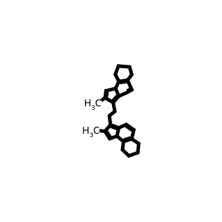 CC1=CC2C(=C1CCC1=C3C=CC4=C(CCCC4)C3C=C1C)C=CC1=C2CCCC1